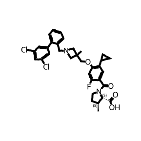 C[C@H]1CCN(C(=O)c2cc(C3CC3)c(OCC3(C)CN(Cc4ccccc4-c4cc(Cl)cc(Cl)c4)C3)cc2F)[C@@H]1C(=O)O